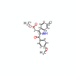 COC(=O)Cc1c(C(=O)c2ccc(OC)cc2)[nH]c2cc(Cl)ccc12